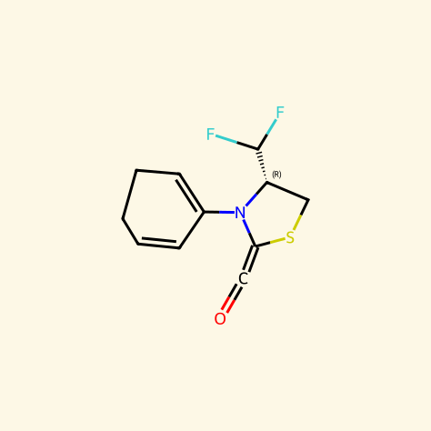 O=C=C1SC[C@@H](C(F)F)N1C1=CCCC=C1